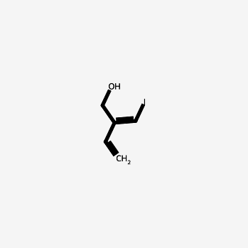 C=CC(=CI)CO